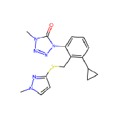 Cn1ccc(SCc2c(C3CC3)cccc2-n2nnn(C)c2=O)n1